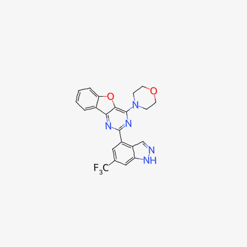 FC(F)(F)c1cc(-c2nc(N3CCOCC3)c3oc4ccccc4c3n2)c2cn[nH]c2c1